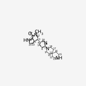 Cn1cc(-c2ccc(N3CCC4(CCNCC4)CC3)nc2)c2cc[nH]c2c1=O